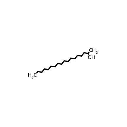 [CH2]C(O)CCCCCCCCCCCCCCCC